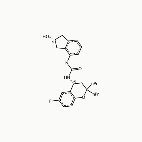 CCCC1(CCC)C[C@@H](NC(=O)Nc2cccc3c2C[C@H](O)C3)c2cc(F)ccc2O1